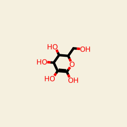 OCC1OC(O)=C(O)C(O)C1O